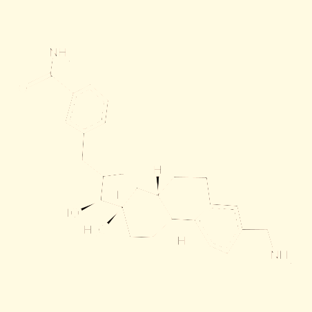 C[C@]12CC[C@@H]3c4ccc(CN)cc4CC[C@H]3[C@@H]1CC(Cc1cccc(C(N)=O)c1)[C@@H]2O